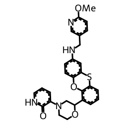 COc1ccc(CNc2ccc3c(c2)Sc2cccc(C4CN(c5ccc[nH]c5=O)CCO4)c2O3)cn1